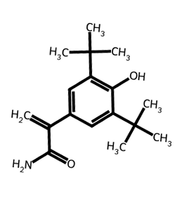 C=C(C(N)=O)c1cc(C(C)(C)C)c(O)c(C(C)(C)C)c1